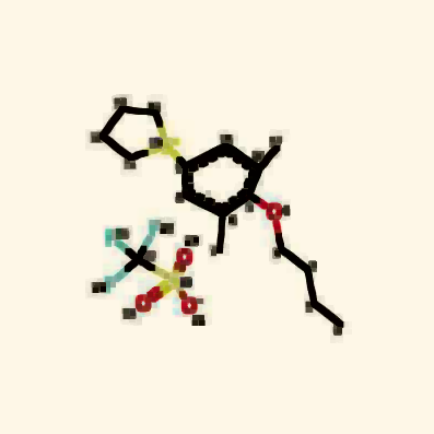 CCCCOc1c(C)cc([S+]2CCCC2)cc1C.O=S(=O)([O-])C(F)(F)F